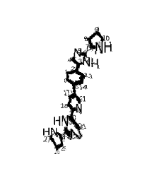 c1cc(C2CN=C([C@@H]3CCCN3)N2)ccc1-c1ccc(-c2cnc([C@@H]3CCCN3)[nH]2)nc1